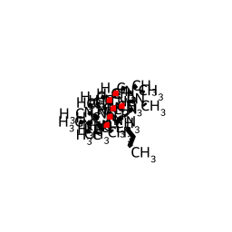 CCCCN=P(N=P(N=P(N(C)C)(N(C)C)N(C)C)(N(C)C)N(C)C)(N=P(N(C)C)(N(C)C)N(C)C)N=P(N(C)C)(N(C)C)N(C)C